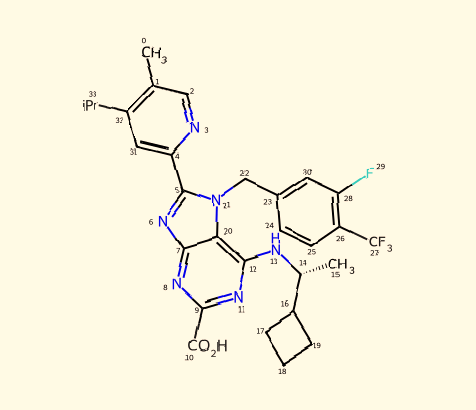 Cc1cnc(-c2nc3nc(C(=O)O)nc(N[C@H](C)C4CCC4)c3n2Cc2ccc(C(F)(F)F)c(F)c2)cc1C(C)C